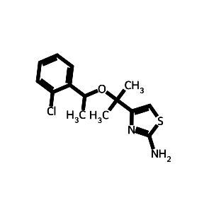 CC(OC(C)(C)c1csc(N)n1)c1ccccc1Cl